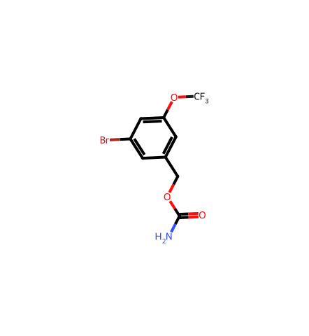 NC(=O)OCc1cc(Br)cc(OC(F)(F)F)c1